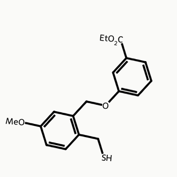 CCOC(=O)c1cccc(OCc2cc(OC)ccc2CS)c1